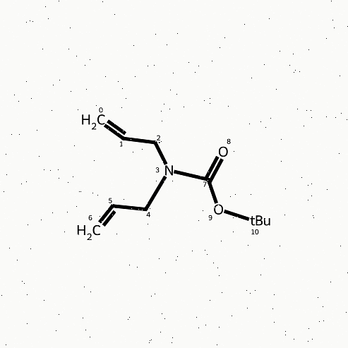 C=C[CH]N(CC=C)C(=O)OC(C)(C)C